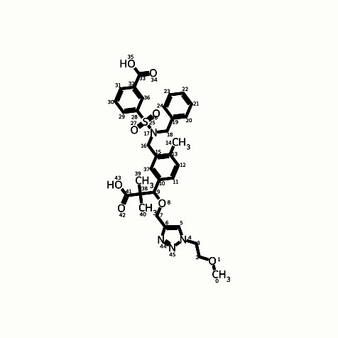 COCCn1cc(COC(c2ccc(C)c(CN(Cc3ccccc3)S(=O)(=O)c3cccc(C(=O)O)c3)c2)C(C)(C)C(=O)O)nn1